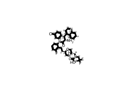 N[C@H](C(=O)Nc1cccc(F)c1CC[C@@H]1CN[C@@H](CN(CC(F)(F)F)C(=O)O)CO1)[C@@H](c1ccc(Cl)cc1)c1ccnc2ccccc12